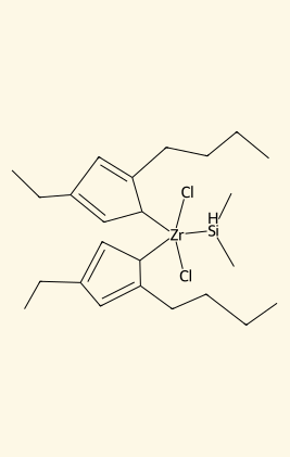 CCCCC1=CC(CC)=C[CH]1[Zr]([Cl])([Cl])([CH]1C=C(CC)C=C1CCCC)[SiH](C)C